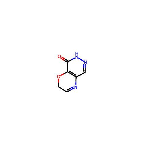 O=c1[nH]ncc2c1OCC=N2